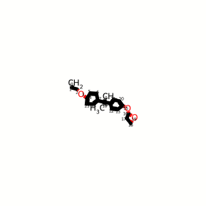 C=CCOc1ccc(C(C)(C)c2ccc(OC3CCO3)cc2)cc1